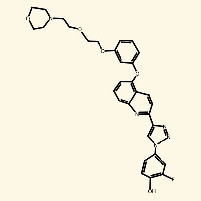 Oc1ccc(-n2cc(-c3ccc4c(Oc5cccc(OCCOCCN6CCOCC6)c5)cccc4n3)nn2)cc1F